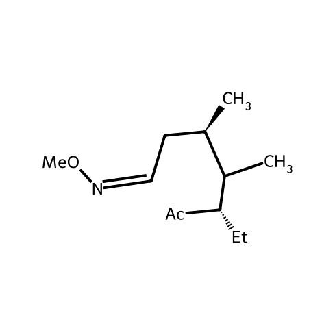 CC[C@H](C(C)=O)C(C)[C@H](C)C/C=N\OC